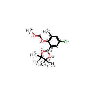 COCOc1c(C)cc(Cl)cc1B1OC(C)(C)C(C)(C)O1